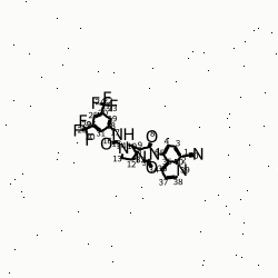 N#Cc1ccc(N2C(=O)C3C4CC(CN4C(=O)Nc4cc(C(F)(F)F)cc(C(F)(F)F)c4)N3C2=O)c2cccnc12